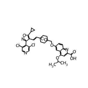 CC(C)Oc1cc(C(=O)O)nc2ccc(OCC34CCC(C=Cc5c(-c6c(Cl)cncc6Cl)noc5C5CC5)(CC3)CO4)cc12